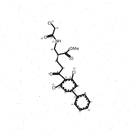 COC(=O)[C@@H](CCC(=O)c1c(Cl)cc(-c2ccccc2)cc1Cl)CNC(=O)CCl